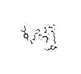 CCCC(CC)c1ccc(C[C@H](NC(=O)[C@H](C)[C@@H](OC)[C@@H]2CCCN2C(=O)C[C@@H](OC)[C@H]([C@@H](C)CC)N(C)C(=O)[C@@H](NC(=O)[C@H](C(C)C)N(C)C(=O)CCCCCN2C(=O)CC(C(C)(C)CCC)C2=O)C(C)C)C(=O)O)cc1